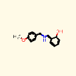 COc1ccc(CNC=C2C=CC=CC2O)cc1